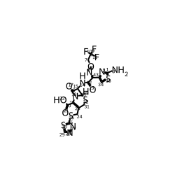 Nc1nc(C(=NOCC(F)(F)F)C(=O)NC2C(=O)N3C(C(=O)O)=C(CSc4nncs4)CS[C@@H]23)cs1